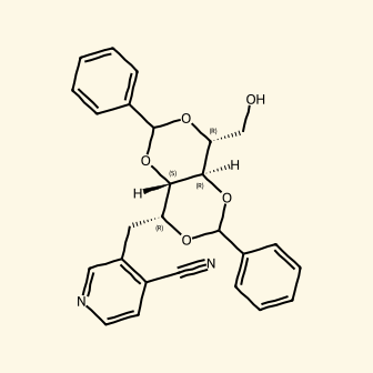 N#Cc1ccncc1C[C@H]1OC(c2ccccc2)O[C@H]2[C@H]1OC(c1ccccc1)O[C@@H]2CO